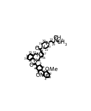 COc1ccccc1-c1ccc(C(=O)N2Cc3ccc(C(=O)N4CCN(CCN(C)C)CC4)n3Cc3ccccc32)cc1OC